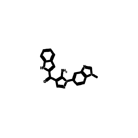 Cn1cnc2cc(-n3ncc(C(=O)c4cc5ccccc5[nH]4)c3N)ccc21